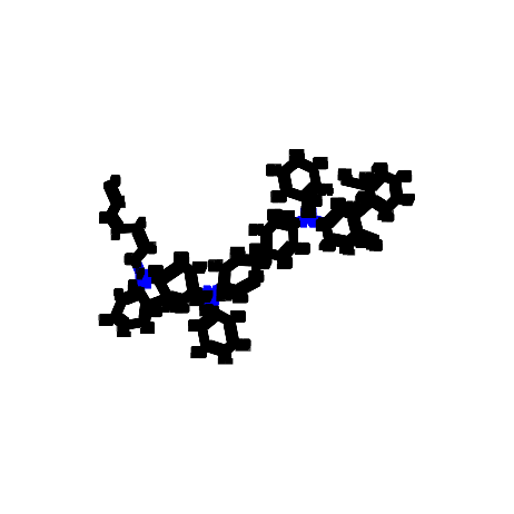 C=C/C=C\C=C/Cn1c2ccccc2c2cc(N(c3ccccc3)c3ccc(-c4ccc(N(C5=CCCC=C5)c5ccc(C)c(-c6ccccc6C)c5)cc4)cc3)ccc21